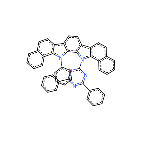 c1ccc(-c2nc(-c3ccccc3)nc(-n3c4c5ccccc5ccc4c4ccc5c6ccc7ccccc7c6n(-c6ccccc6)c5c43)n2)cc1